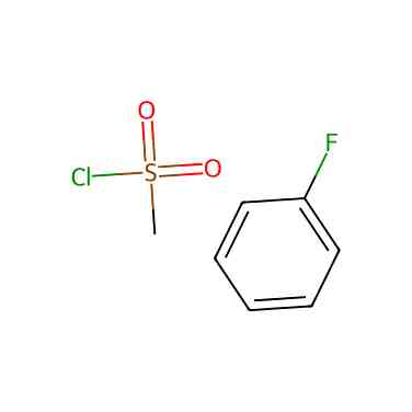 CS(=O)(=O)Cl.Fc1ccccc1